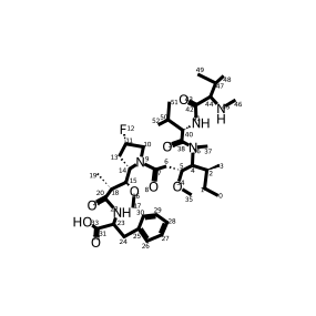 CC[C@H](C)C([C@@H](CC(=O)N1C[C@@H](F)C[C@H]1[C@H](OC)[C@@H](C)C(=O)NC(Cc1ccccc1)C(=O)O)OC)N(C)C(=O)[C@@H](NC(=O)C(NC)C(C)C)C(C)C